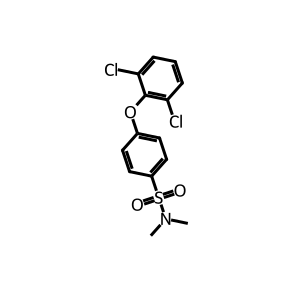 CN(C)S(=O)(=O)c1ccc(Oc2c(Cl)cccc2Cl)cc1